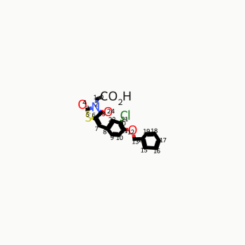 O=C(O)CN1C(=O)SC(=Cc2ccc(OCc3ccccc3)c(Cl)c2)C1=O